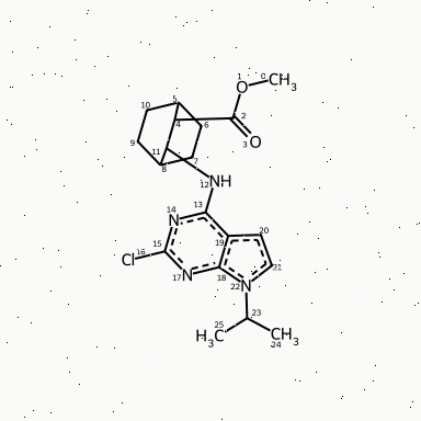 COC(=O)C1C2CCC(CC2)C1Nc1nc(Cl)nc2c1ccn2C(C)C